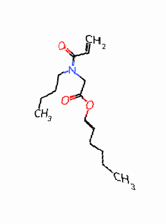 C=CC(=O)N(CCCC)CC(=O)OCCCCCC